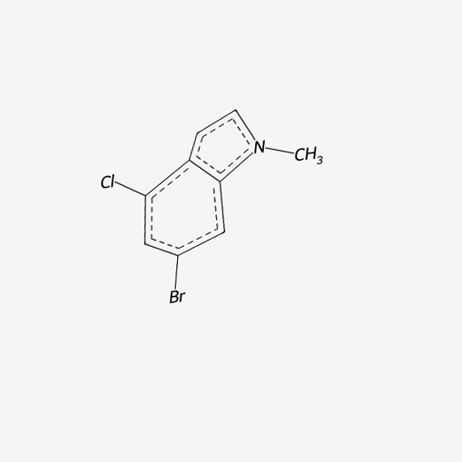 Cn1ccc2c(Cl)cc(Br)cc21